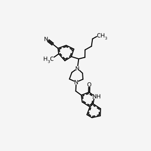 CCCCCC(c1ccc(C#N)c(C)c1)N1CCN(Cc2cc3ccccc3[nH]c2=O)CC1